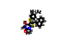 CC(=O)Nc1cccc(Sc2c(Cc3cccc4ccccc34)sc3c2c(=O)n(C)c(=O)n3CC(C)C)c1